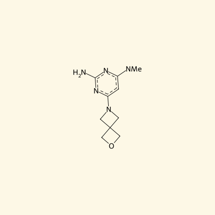 CNc1cc(N2CC3(COC3)C2)nc(N)n1